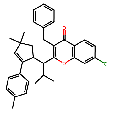 Cc1ccc(C2=CC(C)(C)CC2C(c2oc3cc(Cl)ccc3c(=O)c2Cc2ccccc2)C(C)C)cc1